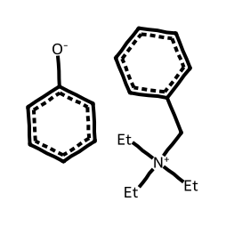 CC[N+](CC)(CC)Cc1ccccc1.[O-]c1ccccc1